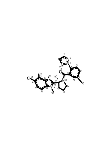 Cc1ccc(-n2nccn2)c(C(=O)N2CCC[C@@]2(C)c2nc3c(C)c(Cl)ccc3n2C)c1